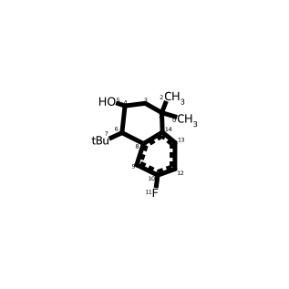 CC1(C)CC(O)C(C(C)(C)C)c2cc(F)ccc21